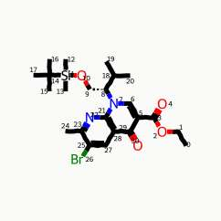 CCOC(=O)c1cn([C@H](CO[Si](C)(C)C(C)(C)C)C(C)C)c2nc(C)c(Br)cc2c1=O